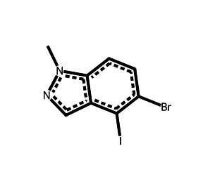 Cn1ncc2c(I)c(Br)ccc21